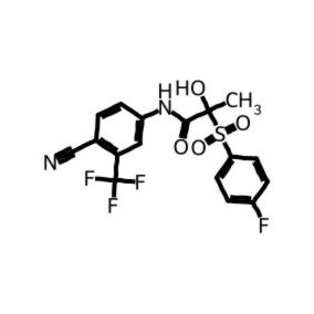 CC(O)(C(=O)Nc1ccc(C#N)c(C(F)(F)F)c1)S(=O)(=O)c1ccc(F)cc1